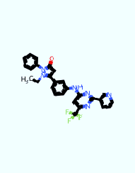 CCn1c(-c2cccc(Nc3cc(C(F)(F)F)nc(-c4cccnc4)n3)c2)cc(=O)n1-c1ccccc1